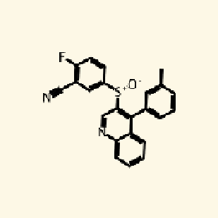 Cc1cccc(-c2c([S+]([O-])c3ccc(F)c(C#N)c3)cnc3ccccc23)c1